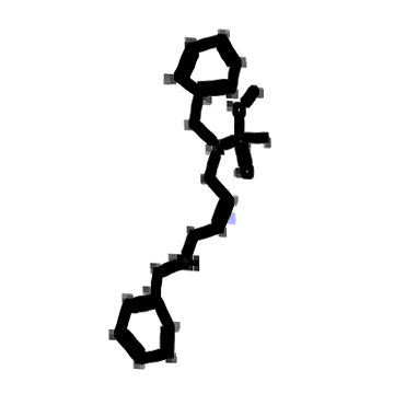 COP(C)(=O)N(C/C=C\CNCc1ccccc1)Cc1ccccc1